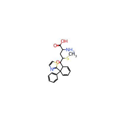 CSC(CC(N)C(=O)O)C(=O)C1C=CC=CC1(c1ccccc1)c1nccs1